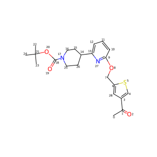 CC(=O)c1csc(COc2cccc(C3CCN(C(=O)OC(C)(C)C)CC3)n2)c1